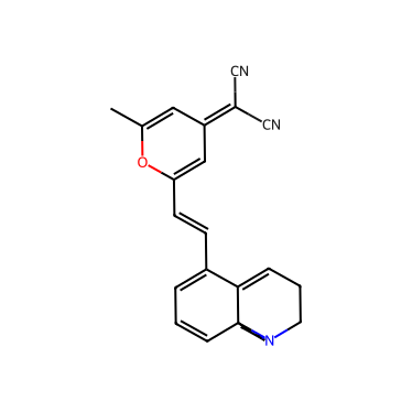 CC1=CC(=C(C#N)C#N)C=C(C=CC2=CC=CC34CCCCN3CCC=C24)O1